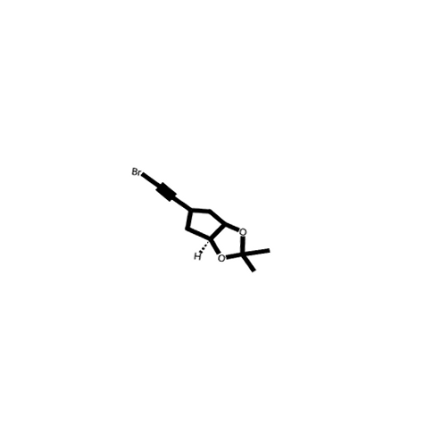 CC1(C)OC2CC(C#CBr)C[C@@H]2O1